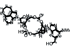 CNc1nc(CO)nc2c1ncn2[C@@H]1O[C@@H]2COP(=O)(S)O[C@H]3C[C@H](n4cc5c6c(ncnc64)NCCC5)O[C@@H]3COC(=O)O[C@@H]1[C@@H]2O